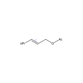 CCC/C=C/COC(C)=O